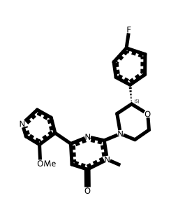 COc1cnccc1-c1cc(=O)n(C)c(N2CCO[C@@H](c3ccc(F)cc3)C2)n1